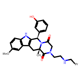 COc1ccc2[nH]c3c(c2c1)C[C@@]1(C)C(=O)N(CCNCC(C)C)CC(=O)N1[C@@H]3c1cccc(O)c1